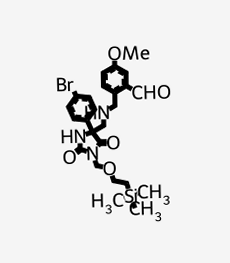 COc1ccc(CNCC2(c3ccc(Br)cc3)NC(=O)N(COCC[Si](C)(C)C)C2=O)c(C=O)c1